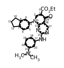 CCOC(=O)c1cn(-c2ccc3c(c2)CCC3)c2nc(Nc3cccc(N(C)C)c3)ncc2c1=O